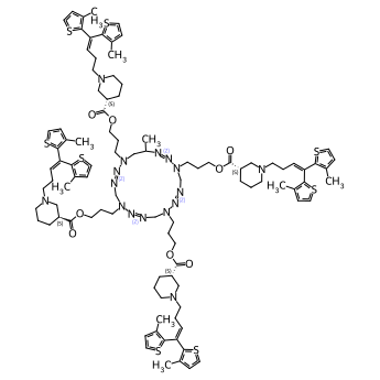 Cc1ccsc1C(=CCCN1CCC[C@H](C(=O)OCCCN2C/N=N\N(CCCOC(=O)[C@H]3CCCN(CCC=C(c4sccc4C)c4sccc4C)C3)CC(C)/N=N\N(CCCOC(=O)[C@H]3CCCN(CCC=C(c4sccc4C)c4sccc4C)C3)C/N=N\N(CCCOC(=O)[C@H]3CCCN(CCC=C(c4sccc4C)c4sccc4C)C3)C/N=N\2)C1)c1sccc1C